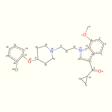 COc1cccc2c(C(=O)C3CC3)cn(CCCN3CCC(Oc4ccccc4Cl)CC3)c12